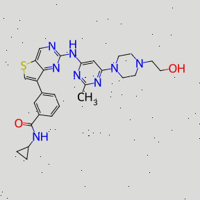 Cc1nc(Nc2ncc3scc(-c4cccc(C(=O)NC5CC5)c4)c3n2)cc(N2CCN(CCO)CC2)n1